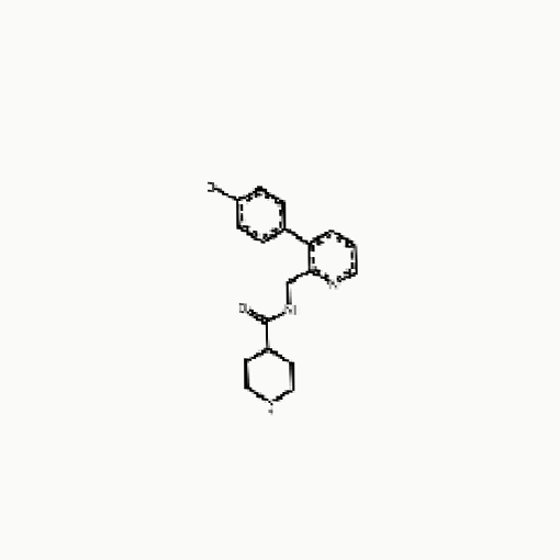 O=C(NCc1ncccc1-c1ccc(Cl)cc1)C1CCNCC1